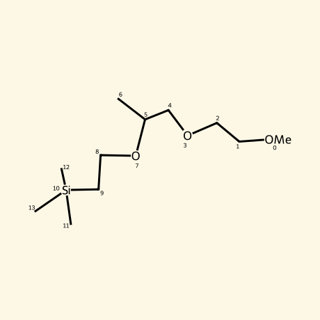 COCCOCC(C)OCC[Si](C)(C)C